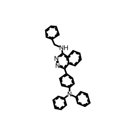 c1ccc(CNc2nnc(-c3ccc(N(c4ccccc4)c4ccccc4)cc3)c3ccccc23)cc1